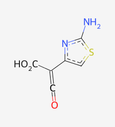 Nc1nc(C(=C=O)C(=O)O)cs1